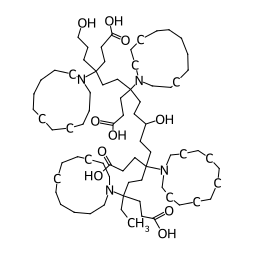 CCC(CCC(=O)O)(CCC(CCC(=O)O)(CCC(O)CCC(CCC(=O)O)(CCC(CCCO)(CCC(=O)O)N1CCCCCCCCCCC1)N1CCCCCCCCCCC1)N1CCCCCCCCCCC1)N1CCCCCCCCCCC1